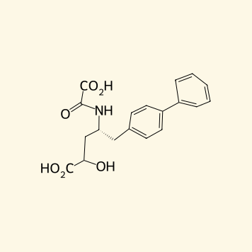 O=C(O)C(=O)N[C@H](Cc1ccc(-c2ccccc2)cc1)CC(O)C(=O)O